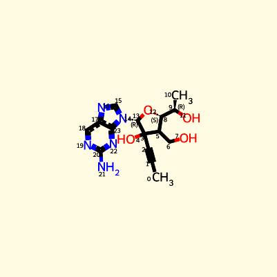 CC#CC1(O)C(CO)[C@@H]([C@@H](C)O)O[C@H]1n1cnc2cnc(N)nc21